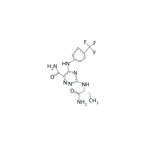 CC[C@@H](Nc1nnc(C(N)=O)c(Nc2ccc(C(F)(F)F)cc2)n1)C(N)=O